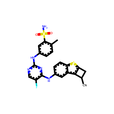 Cc1ccc(Nc2ncc(F)c(Nc3ccc4sc5c(c4c3)C(C#N)C5)n2)cc1S(N)(=O)=O